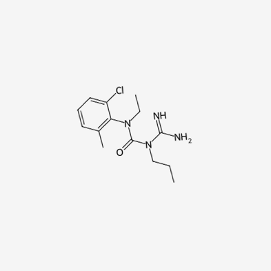 CCCN(C(=N)N)C(=O)N(CC)c1c(C)cccc1Cl